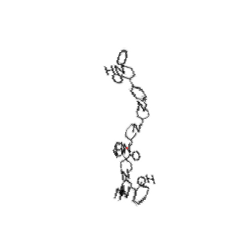 O=C1CC[C@@H](c2ccc(N3CCC(CN4CCCC(CNC(=O)C5(c6ccccc6)CCN(c6cnnc(-c7ccccc7O)c6)CC5)C4)CC3)cc2)C(=O)N1